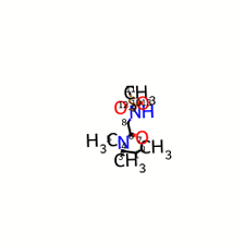 CCC(C)N(C)C(=O)CNS(C)(=O)=O